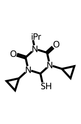 CC(C)N1C(=O)N(C2CC2)C(S)N(C2CC2)C1=O